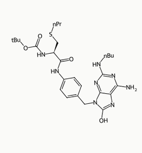 [CH2][CH]CSC[C@H](NC(=O)OC(C)(C)C)C(=O)Nc1ccc(Cn2c(O)nc3c(N)nc(NCCCC)nc32)cc1